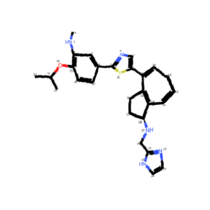 CNc1cc(-c2ncc(C3=CCC=CC4=C3CC[C@@H]4NCc3ncc[nH]3)s2)ccc1OC(C)C